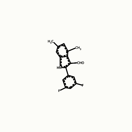 Cc1cc(C)c2c(C=O)c(-c3cc(F)cc(F)c3)[nH]c2c1